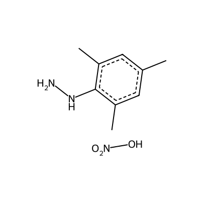 Cc1cc(C)c(NN)c(C)c1.O=[N+]([O-])O